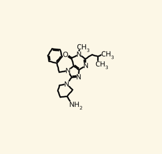 CC(C)Cc1nc2nc(N3CCCC(N)C3)n(Cc3ccccc3)c2c(=O)n1C